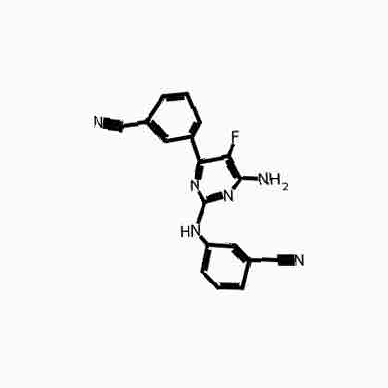 N#Cc1cccc(Nc2nc(N)c(F)c(-c3cccc(C#N)c3)n2)c1